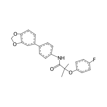 CC(C)(Oc1ccc(F)cc1)C(=O)Nc1ccc(-c2ccc3c(c2)OCO3)cc1